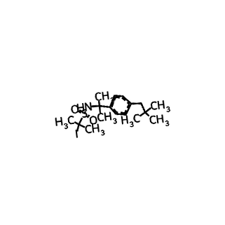 CC(C)(C)Cc1ccc(C(C)(C)NS(=O)(=O)C(C)(C)I)cc1